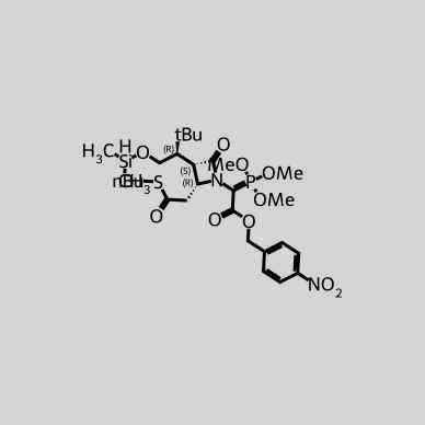 CCCCSC(=O)C[C@@H]1[C@H]([C@@H](CO[SiH](C)C)C(C)(C)C)C(=O)N1C(C(=O)OCc1ccc([N+](=O)[O-])cc1)=P(OC)(OC)OC